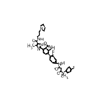 Cc1nc(-c2ccc(-c3ccc(NC(=O)CC(=O)N(C)c4ccc(F)cc4)cc3F)c3c2C(=O)NC3)[nH]c1C(=O)NCCCN1CCCC1